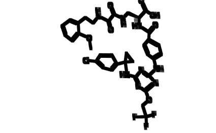 COc1ccccc1CCNC(=O)C(=O)NC[C@H](NC(=O)c1ccc(Nc2nc(NC3(c4ccc(Cl)cc4)CC3)nc(OCC(F)(F)F)n2)cc1)C(=O)O